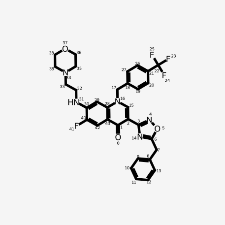 O=c1c(-c2noc(Cc3ccccc3)n2)cn(Cc2ccc(C(F)(F)F)cc2)c2cc(NCCN3CCOCC3)c(F)cc12